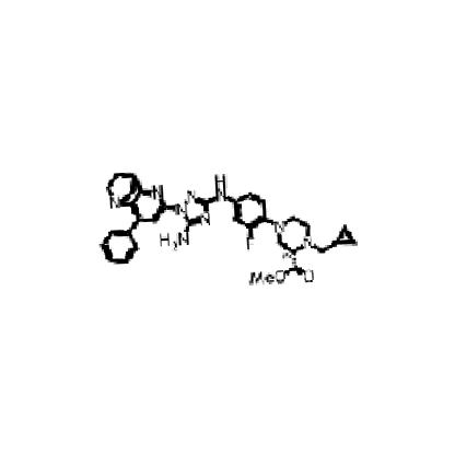 COC(=O)[C@@H]1CN(c2ccc(Nc3nc(N)n(-c4cc(-c5ccccc5)c5c(n4)C4CCN5CC4)n3)cc2F)CCN1CC1CC1